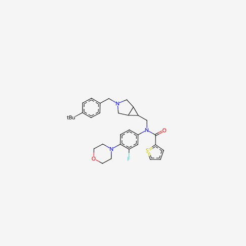 CC(C)(C)c1ccc(CN2CC3C(C2)C3CN(C(=O)c2cccs2)c2ccc(N3CCOCC3)c(F)c2)cc1